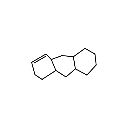 C1=CC2CC3CCCCC3CC2CC1